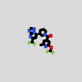 Cc1cc(C(=O)N2CCC[C@H](c3cc(C(F)F)nc4ncnn34)C2)cc(OC(F)F)n1